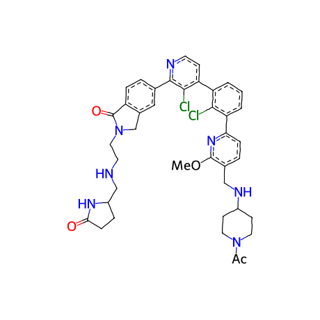 COc1nc(-c2cccc(-c3ccnc(-c4ccc5c(c4)CN(CCNCC4CCC(=O)N4)C5=O)c3Cl)c2Cl)ccc1CNC1CCN(C(C)=O)CC1